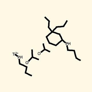 CC(C)[O-].CC(C)[O-].CCCCPC1CCCC(CCC)(CCC)C1.CCCC[PH][Ti+2]